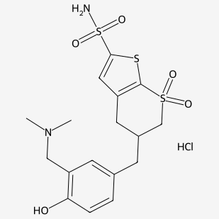 CN(C)Cc1cc(CC2Cc3cc(S(N)(=O)=O)sc3S(=O)(=O)C2)ccc1O.Cl